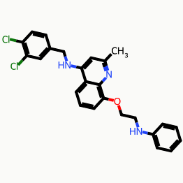 Cc1cc(NCc2ccc(Cl)c(Cl)c2)c2cccc(OCCNc3ccccc3)c2n1